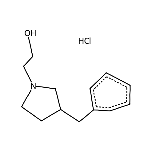 Cl.OCCN1CCC(Cc2ccccc2)C1